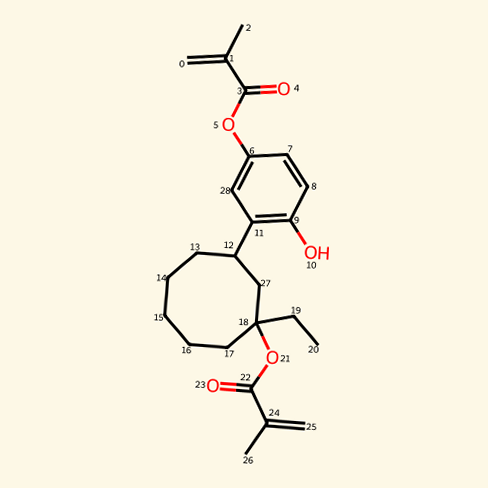 C=C(C)C(=O)Oc1ccc(O)c(C2CCCCCC(CC)(OC(=O)C(=C)C)C2)c1